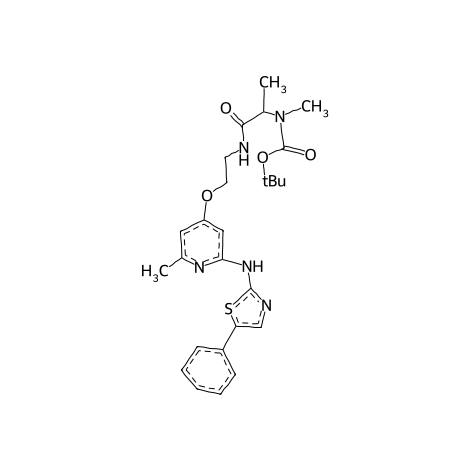 Cc1cc(OCCNC(=O)C(C)N(C)C(=O)OC(C)(C)C)cc(Nc2ncc(-c3ccccc3)s2)n1